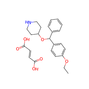 CCOc1ccc(C(OC2CCNCC2)c2ccccc2)cc1.O=C(O)/C=C/C(=O)O